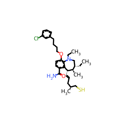 CC[C@H]1CN(CC)c2c(OCCCCc3cccc(Cl)c3)ccc(C(N)=O)c2[C@@H](/C=C/C[C@H](C)CS)[C@@H]1C